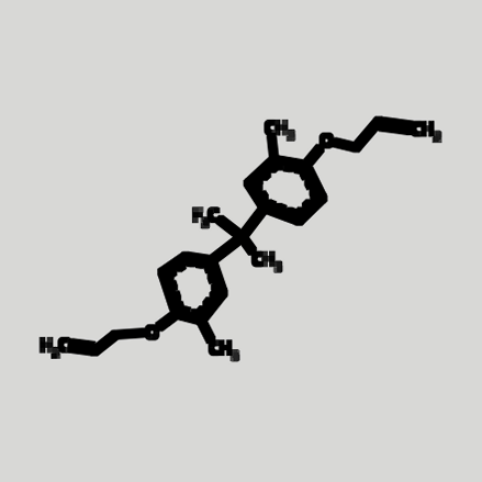 C=CCOc1ccc(C(C)(c2ccc(OCC=C)c(C)c2)C(F)(F)F)cc1C